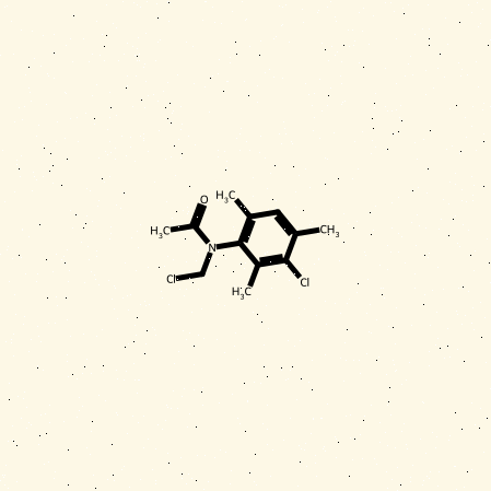 CC(=O)N(CCl)c1c(C)cc(C)c(Cl)c1C